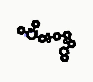 C1=C(c2cccc3c2oc2c(-c4ccc(-c5nc6cc(/C7=N/C(c8ccccc8)=N\C(c8ccccc8)=C/CC7)ccc6o5)cc4)cccc23)Sc2ccccc2CC1